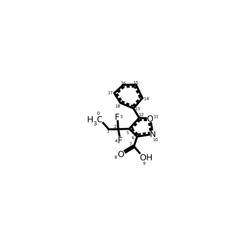 CCC(F)(F)c1c(C(=O)O)noc1-c1ccccc1